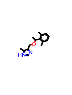 Cc1cccc(C)c1C(C)OCc1nc[nH]c1C